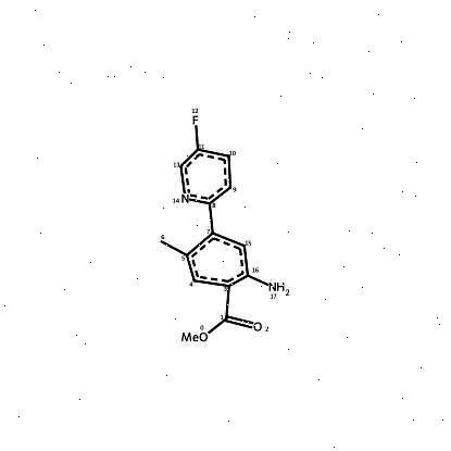 COC(=O)c1cc(C)c(-c2ccc(F)cn2)cc1N